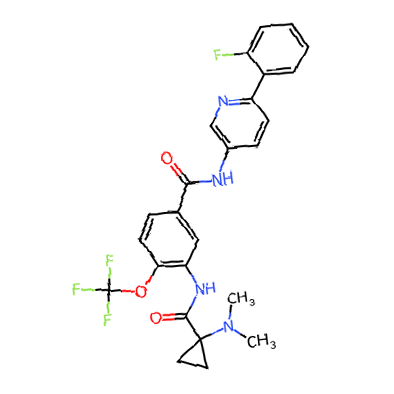 CN(C)C1(C(=O)Nc2cc(C(=O)Nc3ccc(-c4ccccc4F)nc3)ccc2OC(F)(F)F)CC1